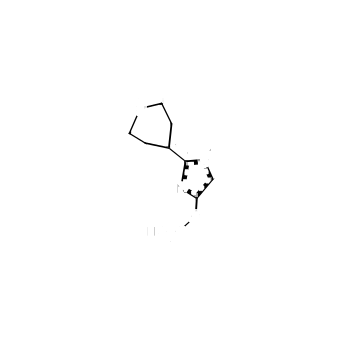 O=C(O)Oc1coc(C2CCOCC2)n1